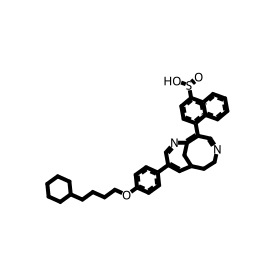 O=S(O)c1ccc(C2=C3/CC(C=C(c4ccc(OCCCCC5CCCCC5)cc4)C=N3)CC/N=C\2)c2ccccc12